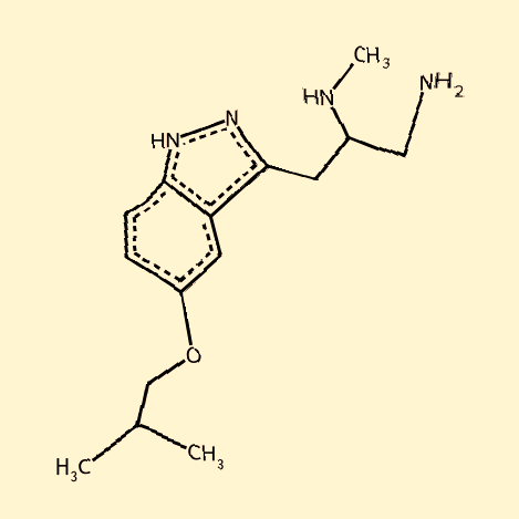 CNC(CN)Cc1n[nH]c2ccc(OCC(C)C)cc12